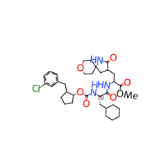 COC(=O)C(CC1CC2(CCOCC2)NC1=O)NC(=O)[C@H](CC1CCCCC1)NC(=O)OC1CCCC1Cc1cccc(Cl)c1